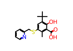 Cc1c(SCc2ccccn2)cc(C(C)(C)C)c(O)c1C(=O)O